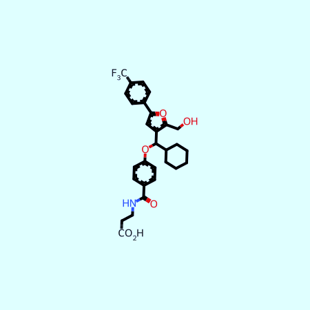 O=C(O)CCNC(=O)c1ccc(OC(c2cc(-c3ccc(C(F)(F)F)cc3)oc2CO)C2CCCCC2)cc1